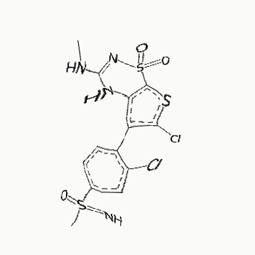 CNC1=NS(=O)(=O)c2sc(Cl)c(-c3ccc(S(C)(=N)=O)cc3Cl)c2N1